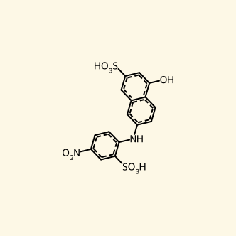 O=[N+]([O-])c1ccc(Nc2ccc3c(O)cc(S(=O)(=O)O)cc3c2)c(S(=O)(=O)O)c1